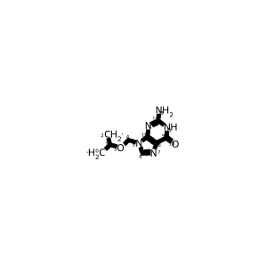 [CH2]C([CH2])OCn1cnc2c(=O)[nH]c(N)nc21